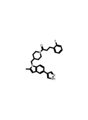 Cc1cc2cc(-c3cn[nH]c3)ccc2n1CC1CCN(C(=O)CCc2ccccc2F)CC1